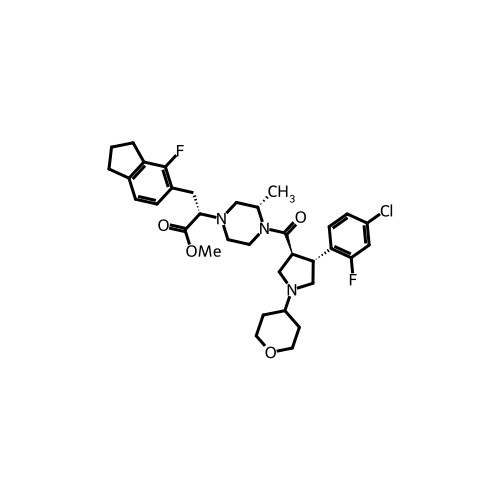 COC(=O)[C@H](Cc1ccc2c(c1F)CCC2)N1CCN(C(=O)[C@@H]2CN(C3CCOCC3)C[C@H]2c2ccc(Cl)cc2F)[C@@H](C)C1